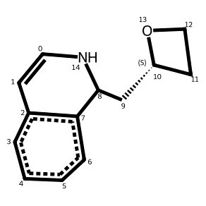 C1=Cc2ccccc2C(C[C@H]2CCO2)N1